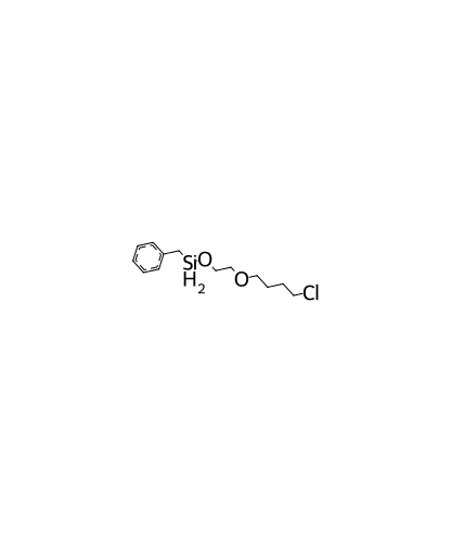 ClCCCCOCCO[SiH2]Cc1ccccc1